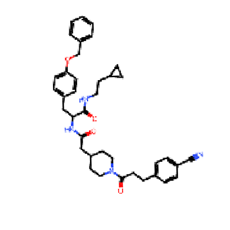 N#Cc1ccc(CCC(=O)N2CCC(CC(=O)NC(Cc3ccc(OCc4ccccc4)cc3)C(=O)NCCC3CC3)CC2)cc1